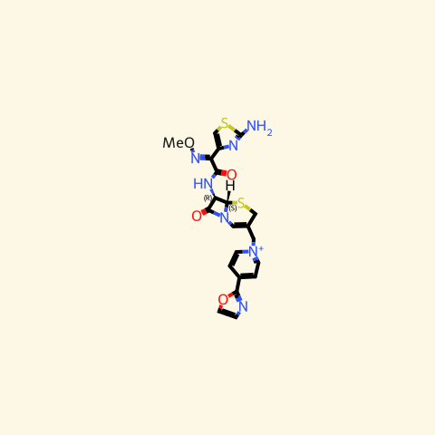 CON=C(C(=O)N[C@@H]1C(=O)N2C=C(C[n+]3ccc(-c4ncco4)cc3)CS[C@@H]12)c1csc(N)n1